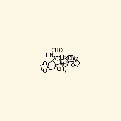 C[C@]12CCC3(CC1[C@@H](NC=O)C[C@@H]1[C@@H]2CC[C@@]2(C)[C@H]1CCC21OCCO1)OCCO3